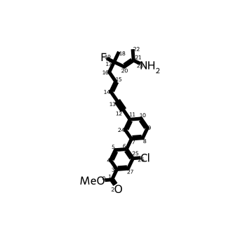 COC(=O)c1ccc(-c2cccc(C#C/C=C/CC(C)(F)/C=C(\C)N)c2)c(Cl)c1